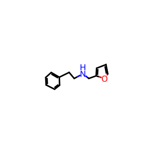 c1ccc(CCNCc2ccco2)cc1